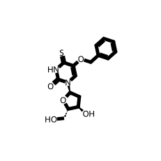 O=c1[nH]c(=S)c(OCc2ccccc2)cn1[C@H]1C[C@@H](O)[C@H](CO)O1